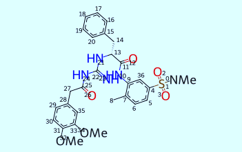 CNS(=O)(=O)c1ccc(C)c(NC(=O)[C@@H](Cc2ccccc2)NC(=N)NC(=O)Cc2ccc(OC)c(OC)c2)c1